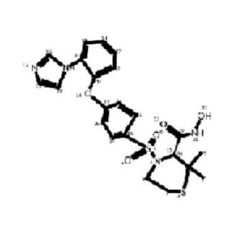 CC1(C)SCCN(S(=O)(=O)c2ccc(Oc3ccccc3-n3ccnc3)cc2)[C@H]1C(=O)NO